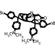 CCCCc1ccc(C2(c3ccc(N(C)C)cc3)c3c4c(c5nc6c7nc5c3C3C6(OC7=O)C3(c3ccc(CCCC)cc3)c3ccc(N(C)C)cc3)C42)cc1